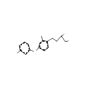 C[C@](N)(CO)CCc1ccc(Sc2cccc(C(F)(F)F)c2)cc1Cl